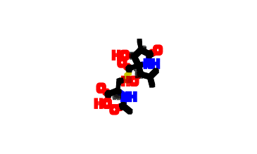 CC(=O)N[C@H](CSC(=O)[C@]1([C@@H](O)C(C)C)NC(=O)[C@H](C)[C@@H]1O)C(=O)O